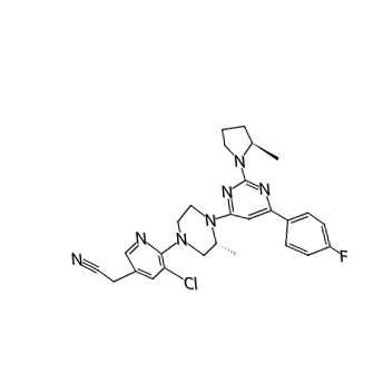 C[C@@H]1CN(c2ncc(CC#N)cc2Cl)CCN1c1cc(-c2ccc(F)cc2)nc(N2CCC[C@H]2C)n1